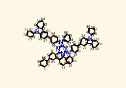 c1ccc(-c2ccc(-c3nc(N(c4ccccc4)c4ccc(-c5ccc6c(c5)c5ccccc5n6-c5ccccc5)cc4)nc(N(c4ccccc4)c4ccc(-c5ccc6c(c5)c5ccccc5n6-c5ccccc5)cc4)n3)c(-c3ccccc3)c2)cc1